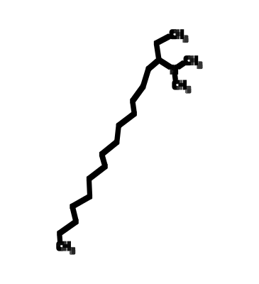 CCCCCCCCCCCCCCC(CC)N(C)C